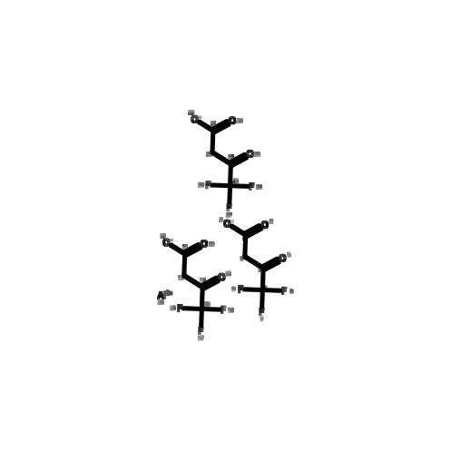 O=C([O-])CC(=O)C(F)(F)F.O=C([O-])CC(=O)C(F)(F)F.O=C([O-])CC(=O)C(F)(F)F.[Al+3]